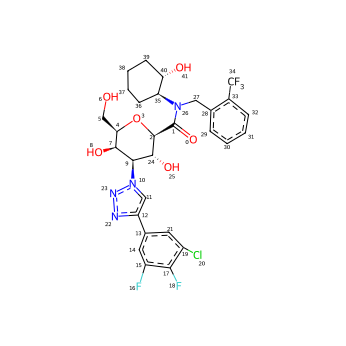 O=C([C@@H]1O[C@H](CO)[C@H](O)[C@H](n2cc(-c3cc(F)c(F)c(Cl)c3)nn2)[C@H]1O)N(Cc1ccccc1C(F)(F)F)[C@H]1CCCC[C@@H]1O